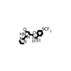 CC[C@@H](NC(=O)c1cc(=O)[nH]c(-c2ncccn2)n1)c1ccc(SC(F)(F)F)cc1